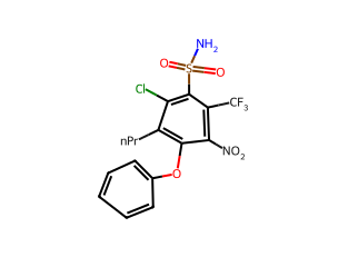 CCCc1c(Cl)c(S(N)(=O)=O)c(C(F)(F)F)c([N+](=O)[O-])c1Oc1ccccc1